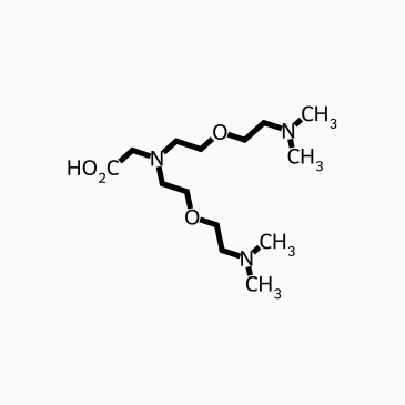 CN(C)CCOCCN(CCOCCN(C)C)CC(=O)O